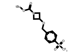 CC(C)(C)OC(=O)N1CC(OCc2ccc(S(=O)(=O)C(F)(F)F)cc2)C1